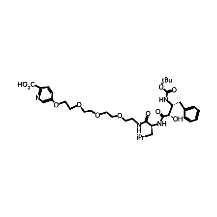 CC(C)C[C@H](NC(=O)[C@@H](O)[C@@H](Cc1ccccc1)NC(=O)OC(C)(C)C)C(=O)NCCOCCOCCOCCOc1ccc(C(=O)O)nc1